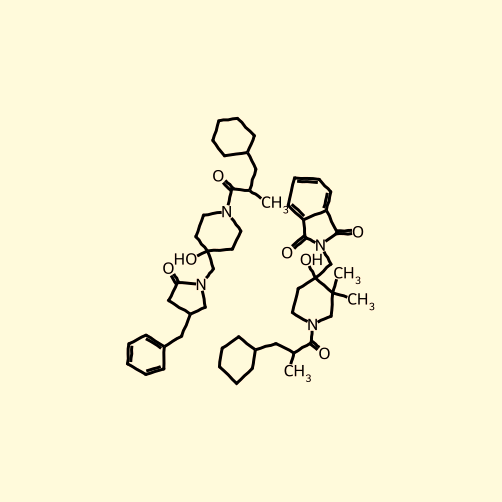 CC(CC1CCCCC1)C(=O)N1CCC(O)(CN2C(=O)c3ccccc3C2=O)C(C)(C)C1.CC(CC1CCCCC1)C(=O)N1CCC(O)(CN2CC(Cc3ccccc3)CC2=O)CC1